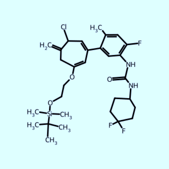 C=C1CC(OCCO[Si](C)(C)C(C)(C)C)=CC(c2cc(NC(=O)NC3CCC(F)(F)CC3)c(F)cc2C)=CC1Cl